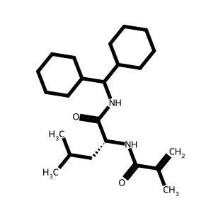 C=C(C)C(=O)N[C@H](CC(C)C)C(=O)NC(C1CCCCC1)C1CCCCC1